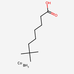 B.CC(C)(C)CCCCCC(=O)O.[Co]